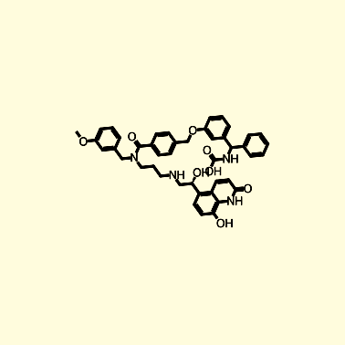 COc1cccc(CN(CCCNC[C@@H](O)c2ccc(O)c3[nH]c(=O)ccc23)C(=O)c2ccc(COc3cccc(C(NC(=O)O)c4ccccc4)c3)cc2)c1